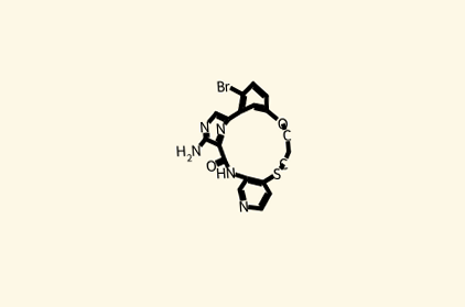 Nc1ncc2nc1C(=O)Nc1cnccc1SCCCOc1ccc(Br)c-2c1